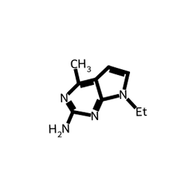 CCn1ccc2c(C)nc(N)nc21